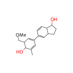 COCC1C=C(C2=CC3CCC(O)C3C=C2)C=C(C)C1O